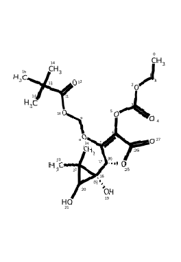 CCOC(=O)OC1=C(OCOC(=O)C(C)(C)C)[C@@H]([C@@]2(O)C(O)C2(C)C)OC1=O